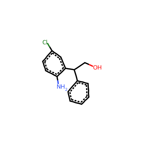 Nc1ccc(Cl)cc1C(CO)c1ccccc1